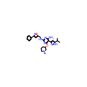 CC(C)c1cc(-c2c(N)nc(NCc3cc(-c4ccccc4)no3)nc2OC2CCCN(C)C2)n[nH]1